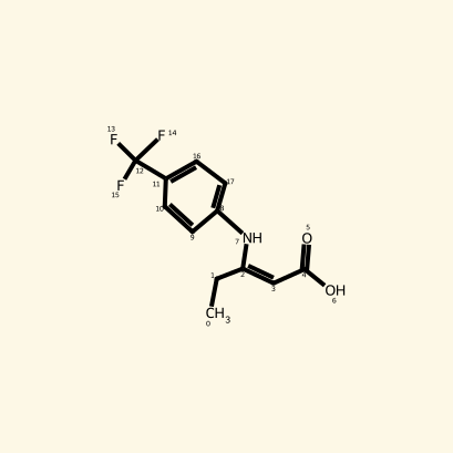 CC/C(=C/C(=O)O)Nc1ccc(C(F)(F)F)cc1